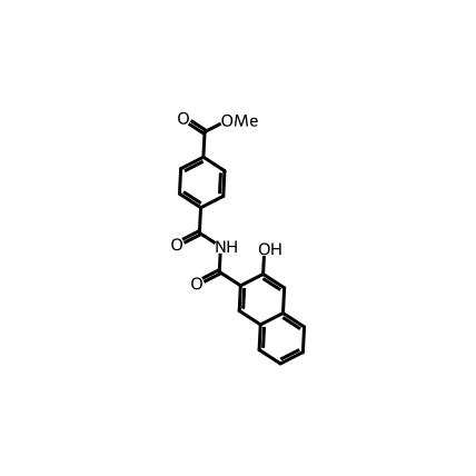 COC(=O)c1ccc(C(=O)NC(=O)c2cc3ccccc3cc2O)cc1